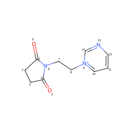 O=C1CCC(=O)N1CC[n+]1cccnc1